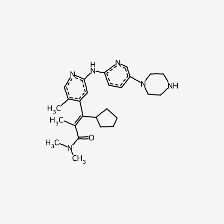 C/C(C(=O)N(C)C)=C(\c1cc(Nc2ccc(N3CCNCC3)cn2)ncc1C)C1CCCC1